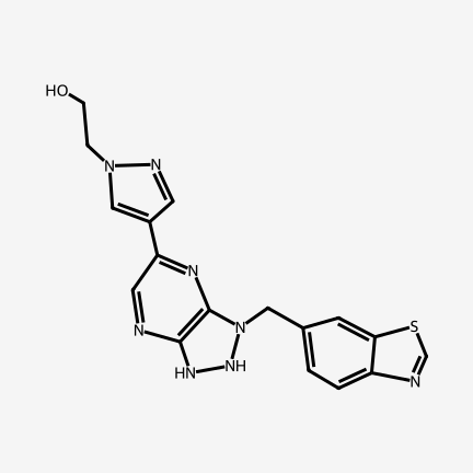 OCCn1cc(-c2cnc3c(n2)N(Cc2ccc4ncsc4c2)NN3)cn1